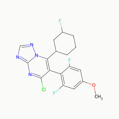 COc1cc(F)c(-c2c(Cl)nc3ncnn3c2C2CCCC(F)C2)c(F)c1